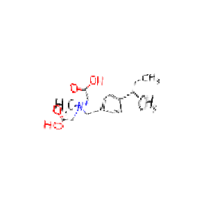 CCC(C)c1ccc(C[N+](C)(CC(=O)O)CC(=O)O)cc1